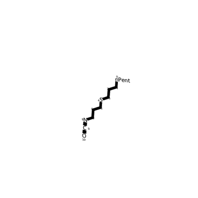 CCCCCCCCSCCCN=C=O